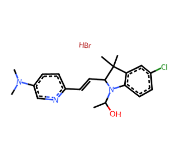 Br.CC(O)N1c2ccc(Cl)cc2C(C)(C)C1C=Cc1ccc(N(C)C)cn1